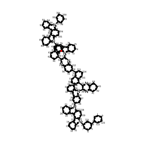 c1ccc(-c2cccc(-n3c4ccccc4c4c5c6ccccc6n(-c6ccc7c(c6)c6ccccc6n7-c6nc7ccccc7nc6-c6cccc7c(-c8ccc9nc(-c%10cccc%11ccccc%10%11)c(-n%10c%11ccccc%11c%11cc(-n%12c%13ccccc%13c%13c%14c%15ccccc%15n(-c%15ccccc%15)c%14ccc%13%12)ccc%11%10)nc9c8)cccc67)c5ccc43)c2)cc1